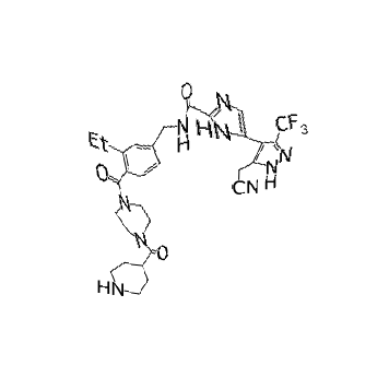 CCc1cc(CNC(=O)c2ncc(-c3c(C(F)(F)F)n[nH]c3CC#N)[nH]2)ccc1C(=O)N1CCN(C(=O)C2CCNCC2)CC1